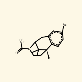 CC(=O)c1ccc2c(c1)CC1N(C(=O)C(F)(F)F)CC[C@]2(C)C1(C)C